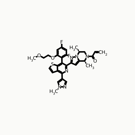 C=CC(=O)N1C[C@H](C)n2nc(-c3nc(-c4cnn(C)c4)c4ccsc4c3-c3c(F)cc(F)cc3OCCOC)cc2[C@@H]1C